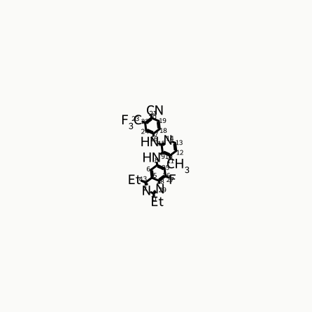 CCc1nc(CC)c2cc(Nc3c(C)ccnc3Nc3ccc(C#N)c(C(F)(F)F)c3)cc(F)c2n1